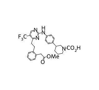 COC(=O)Cc1ccccc1CCc1nc(Nc2ccc(C3CCCN(C(=O)O)C3)cc2)ncc1C(F)(F)F